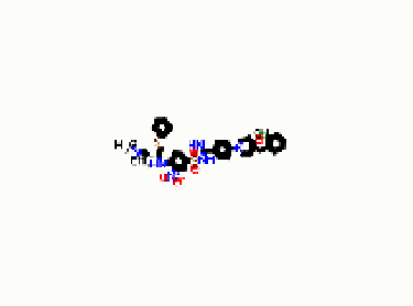 COC1(Cc2ccccc2F)CCN(c2ccc(C(=N)NS(=O)(=O)c3ccc(N[C@H](CCN(C)C)CSc4ccccc4)c([N+](=O)[O-])c3)cc2)CC1